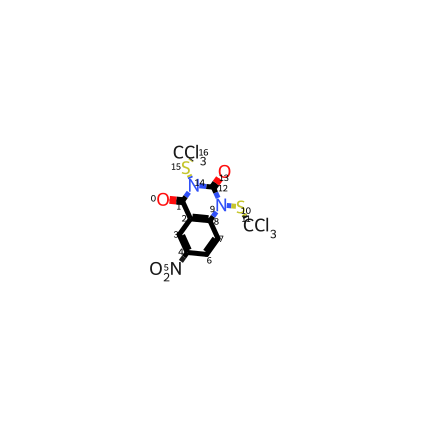 O=c1c2cc([N+](=O)[O-])ccc2n(SC(Cl)(Cl)Cl)c(=O)n1SC(Cl)(Cl)Cl